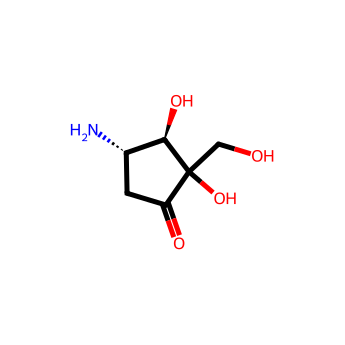 N[C@H]1CC(=O)C(O)(CO)[C@@H]1O